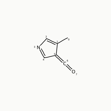 CC1=CN=CC1=C=O